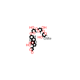 CO[C@H]1[C@@H](O)C[C@H](O[C@H]2[C@@H](O)C[C@H](O[C@H]3[C@@H](O)C[C@H](O[C@H]4CC[C@@]5(C)[C@H](CC[C@@H]6[C@@H]5C[C@@H](O)[C@]5(C)C(C7=CC(=O)OC7)CC[C@]65O)C4)O[C@@H]3C)O[C@@H]2C)O[C@@H]1C